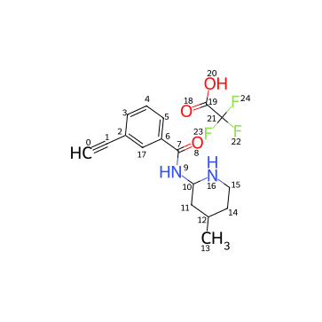 C#Cc1cccc(C(=O)NC2CC(C)CCN2)c1.O=C(O)C(F)(F)F